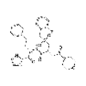 O=C(N[C@@H](CCc1ccccc1)C(=O)c1ncco1)C(CC(=O)N1CCOCC1)CS(=O)(=O)Cc1ccccc1F